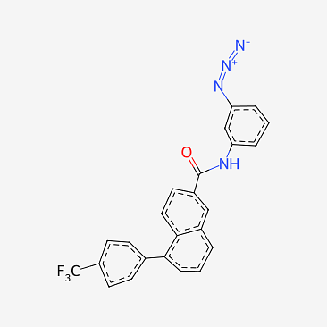 [N-]=[N+]=Nc1cccc(NC(=O)c2ccc3c(-c4ccc(C(F)(F)F)cc4)cccc3c2)c1